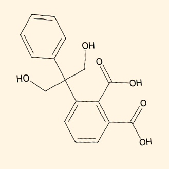 O=C(O)c1cccc(C(CO)(CO)c2ccccc2)c1C(=O)O